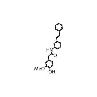 COc1cc(CC(=O)Nc2cccc(C=Cc3ccccc3)c2)ccc1O